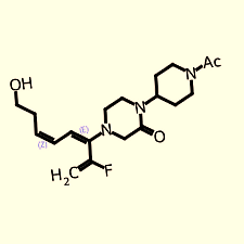 C=C(F)/C(=C\C=C/CCO)N1CCN(C2CCN(C(C)=O)CC2)C(=O)C1